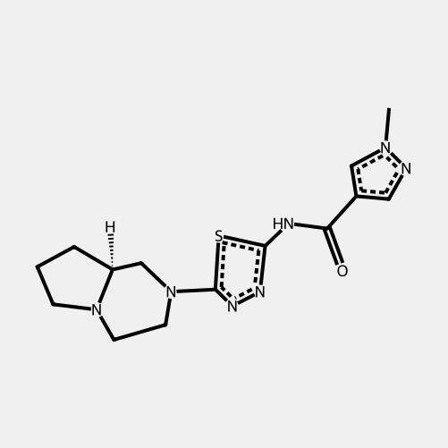 Cn1cc(C(=O)Nc2nnc(N3CCN4CCC[C@H]4C3)s2)cn1